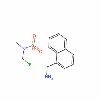 CN(CF)[SH](=O)=O.NCc1cccc2ccccc12